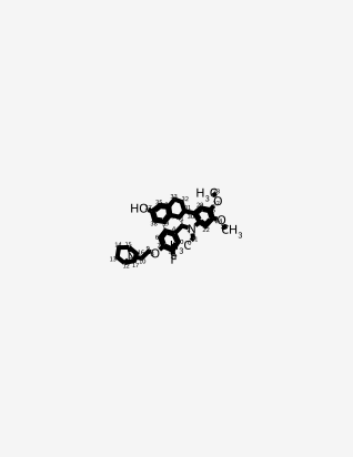 CCN(Cc1ccc(OCCN2C3CCC2CC3)c(F)c1)c1cc(OC)c(OC)cc1C1CCc2cc(O)ccc2C1